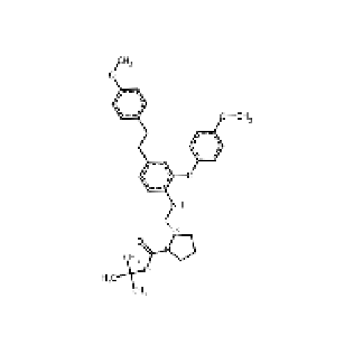 COc1ccc(CCc2ccc(NC[C@@H]3CCCN3C(=O)OC(C)(C)C)c(Oc3ccc(OC)cc3)c2)cc1